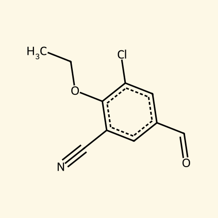 CCOc1c(Cl)cc(C=O)cc1C#N